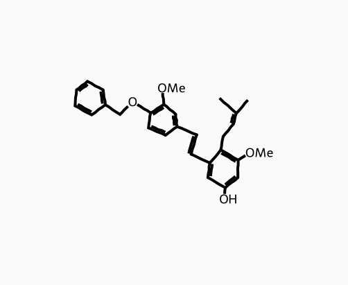 COc1cc(C=Cc2cc(O)cc(OC)c2CC=C(C)C)ccc1OCc1ccccc1